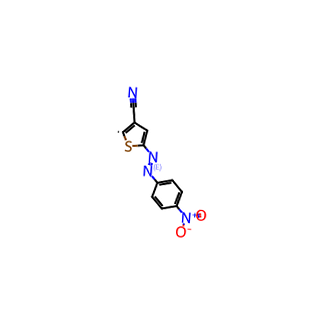 N#Cc1[c]sc(/N=N/c2ccc([N+](=O)[O-])cc2)c1